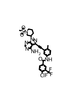 Cc1ccc(NC(=O)c2ccc(Cl)c(C(F)(F)F)c2)cc1C#Cc1nn(C2CCCN(S(C)(=O)=O)C2)c2ncnc(N)c12